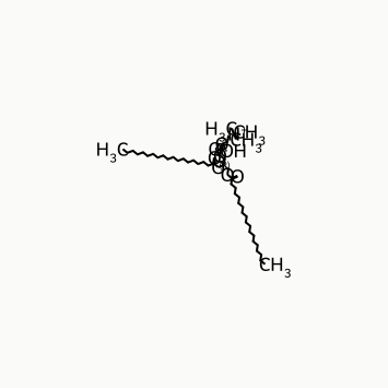 CCCCCCCCCCCCCCCCCCC(=O)OC[C@H](COP(=O)(O)OCC[N+](C)(C)C)OC(=O)CCCCCCCCCCCCCCCCCC